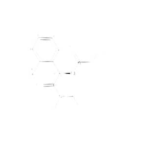 CCOC(=O)CN(C)C(=O)[C@H](NC(=O)OC(C)(C)C)c1ccccc1Br